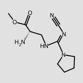 COC(=O)[C@@H](N)CN/C(=N\C#N)N1CCCC1